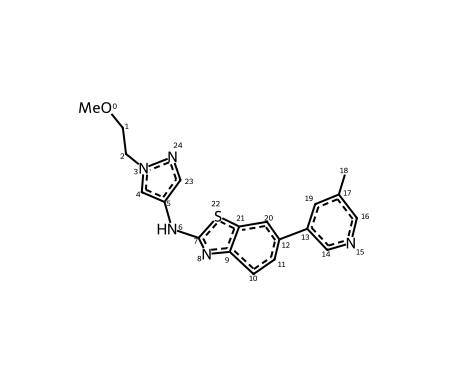 COCCn1cc(Nc2nc3ccc(-c4cncc(C)c4)cc3s2)cn1